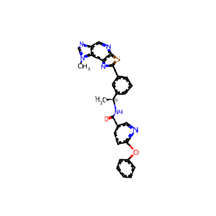 C[C@H](NC(=O)c1ccc(Oc2ccccc2)nc1)c1cccc(-c2nc3c(ncc4ncn(C)c43)s2)c1